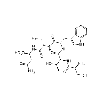 C[C@@H](O)[C@H](NC(=O)[C@@H](N)CS)C(=O)N[C@@H](Cc1c[nH]c2ccccc12)C(=O)N[C@@H](CS)C(=O)N[C@@H](CC(N)=O)C(=O)O